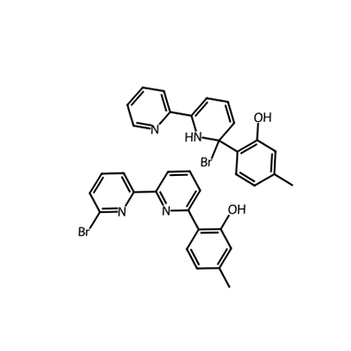 Cc1ccc(-c2cccc(-c3cccc(Br)n3)n2)c(O)c1.Cc1ccc(C2(Br)C=CC=C(c3ccccn3)N2)c(O)c1